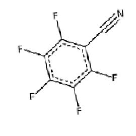 N#Cc1c(F)c(F)c(F)c(F)c1F